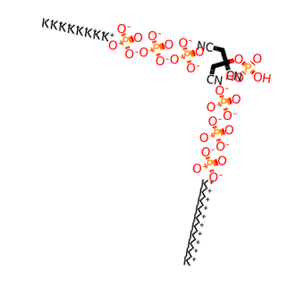 N#CCC(C#N)(CC#N)OP(=O)(O)O.O=P([O-])([O-])[O-].O=P([O-])([O-])[O-].O=P([O-])([O-])[O-].O=P([O-])([O-])[O-].O=P([O-])([O-])[O-].O=P([O-])([O-])[O-].[K+].[K+].[K+].[K+].[K+].[K+].[K+].[K+].[K+].[K+].[K+].[K+].[K+].[K+].[K+].[K+].[K+].[K+]